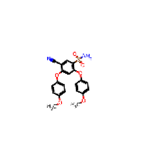 COc1ccc(Oc2cc(Oc3ccc(OC)cc3)c(S(N)(=O)=O)cc2C#N)cc1